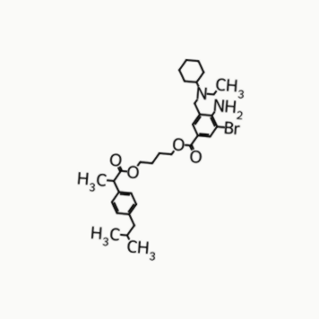 CCN(Cc1cc(C(=O)OCCCCOC(=O)C(C)c2ccc(CC(C)C)cc2)cc(Br)c1N)C1CCCCC1